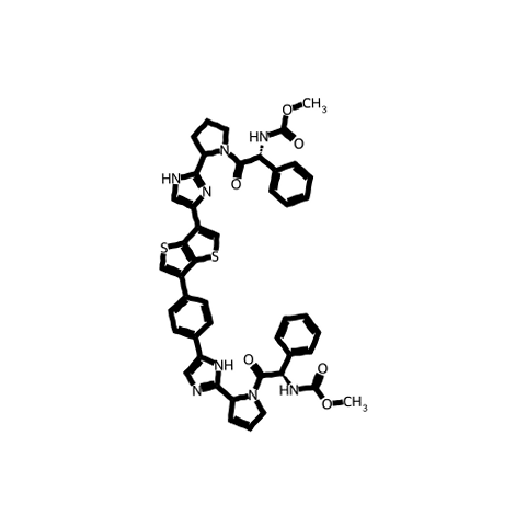 COC(=O)N[C@@H](C(=O)N1CC=CC1c1ncc(-c2ccc(-c3csc4c(-c5c[nH]c(C6CCCN6C(=O)[C@H](NC(=O)OC)c6ccccc6)n5)csc34)cc2)[nH]1)c1ccccc1